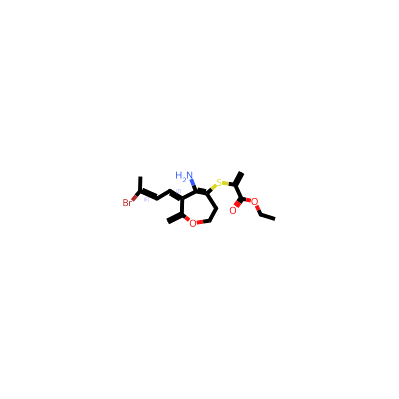 C=C(SC1=C(N)/C(=C/C=C(\C)Br)C(=C)OCC1)C(=O)OCC